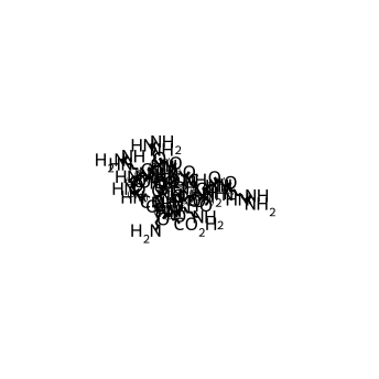 C[C@H](NC(=O)[C@H](C)NC(=O)[C@H](C)NC(=O)[C@H](CCCNC(=N)N)NC(=O)[C@H](CC(=O)O)NC(=O)[C@H](CCCNC(=N)N)NC(=O)[C@H](C)NC(=O)[C@H](CCC(N)=O)NC(=O)[C@H](CO)NC(=O)[C@H](C)NC(=O)[C@H](C)NC(=O)[C@H](CCCCN)NC(=O)[C@H](CCC(=O)O)NC(=O)[C@H](CCCCN)NC(=O)[C@H](C)NC(=O)[C@H](CCC(=O)O)NC(=O)[C@@H](NC(=O)[C@H](C)NC(=O)[C@H](C)NC(=O)[C@@H](N)CCCNC(=N)N)[C@@H](C)O)C(=O)O